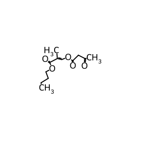 CCCCOC(=O)C(C)=COC(=O)CC(C)=O